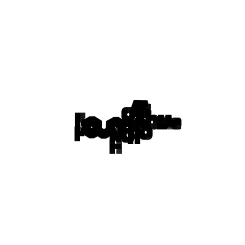 COC(=O)C(NC(=O)c1ccc(Cc2ccc(F)c(F)c2)[nH]c1=O)c1cccs1